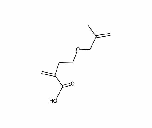 C=C(C)COCCC(=C)C(=O)O